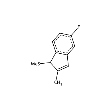 CSC1C(C)=Cc2cc(F)ccc21